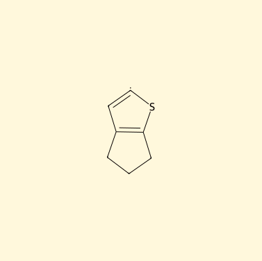 [c]1cc2c(s1)CCC2